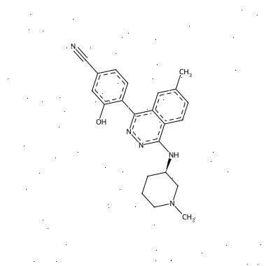 Cc1ccc2c(N[C@@H]3CCCN(C)C3)nnc(-c3ccc(C#N)cc3O)c2c1